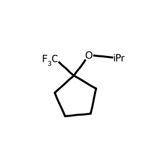 CC(C)OC1(C(F)(F)F)CCCC1